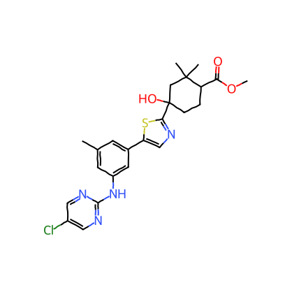 COC(=O)C1CCC(O)(c2ncc(-c3cc(C)cc(Nc4ncc(Cl)cn4)c3)s2)CC1(C)C